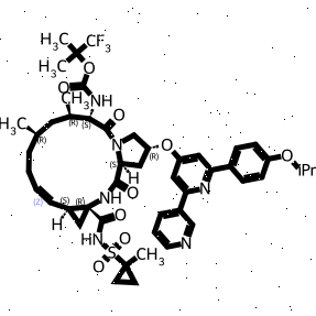 CC(C)Oc1ccc(-c2cc(O[C@@H]3C[C@H]4C(=O)N[C@]5(C(=O)NS(=O)(=O)C6(C)CC6)C[C@H]5/C=C\CC[C@@H](C)C[C@@H](C)[C@H](NC(=O)OC(C)(C)C(F)(F)F)C(=O)N4C3)cc(-c3cccnc3)n2)cc1